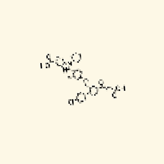 O=C(O)CNC(=O)c1ccc(-c2ccc(Cl)cc2)c(COc2ccc(-c3nc4cc(C(=O)O)ccc4n3C3CCCCC3)c(F)c2)c1